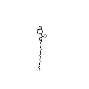 CCCCCCCCCCCCCCCCOC(=O)C1CCC2(C)OC2C1